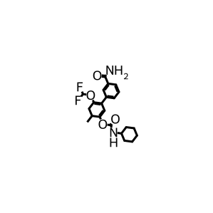 CC1CC(OC(F)F)=C(c2cccc(C(N)=O)c2)C=C1OC(=O)NC1CCCCC1